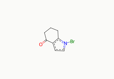 O=C1CCCc2c1ccn2Br